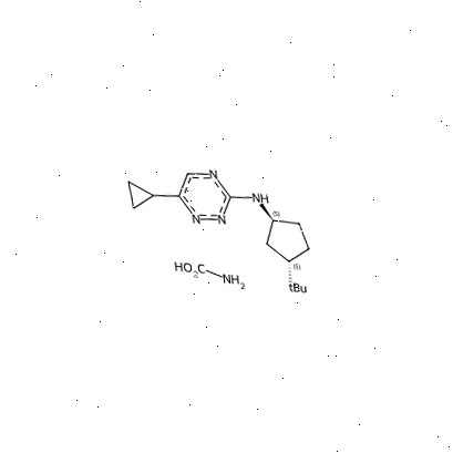 CC(C)(C)[C@H]1CC[C@H](Nc2ncc(C3CC3)nn2)C1.NC(=O)O